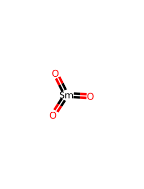 [O]=[Sm](=[O])=[O]